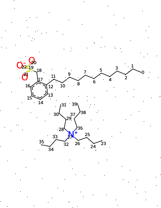 CCCCCCCCCCCCc1ccccc1CS(=O)(=O)[O-].CCCC[N+](CCCC)(CCCC)CCCC